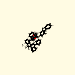 CC1(C)c2cccc(-c3cccc4ccccc34)c2-c2c1c1ccccc1c1c2oc2c(N(c3ccccc3)c3ccc4c(c3)sc3ccccc34)cccc21